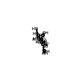 CNN1NC=C(SCC2=C(C(=O)[O-])N3C(=O)C(NC(=O)C(c4ccc(O)cc4)N(C(N)=O)c4cnc(NCCCO)nc4O)[C@@H]3SC2)S1.[Na+]